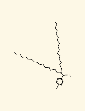 CCCCCCCCCCCCCCCCN(CCCCCCCCCCCCCCCC)C(N)c1ccc(C)cc1